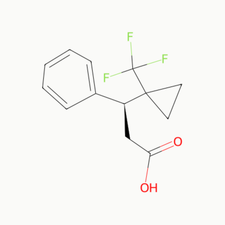 O=C(O)C[C@@H](c1ccccc1)C1(C(F)(F)F)CC1